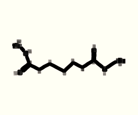 CC(C)(C)OC(=O)CCCCCC(=O)OC(C)(C)C